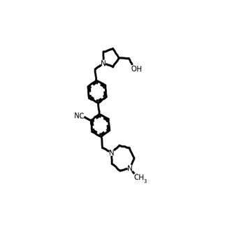 CN1CCCN(Cc2ccc(-c3ccc(CN4CCC(CO)C4)cc3)c(C#N)c2)CC1